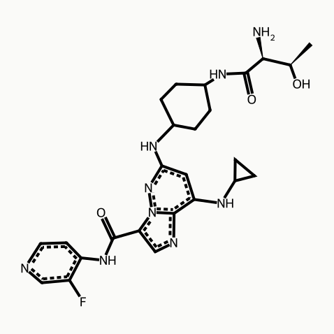 C[C@@H](O)[C@H](N)C(=O)NC1CCC(Nc2cc(NC3CC3)c3ncc(C(=O)Nc4ccncc4F)n3n2)CC1